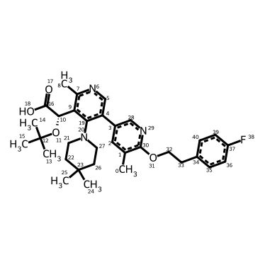 Cc1cc(-c2cnc(C)c([C@H](OC(C)(C)C)C(=O)O)c2N2CCC(C)(C)CC2)cnc1OCCc1ccc(F)cc1